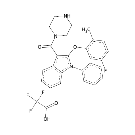 Cc1ccc(F)cc1Oc1c(C(=O)N2CCNCC2)c2ccccc2n1-c1ccccc1.O=C(O)C(F)(F)F